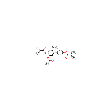 C=C(C)C(=O)Oc1ccc(-c2ccc(OC(=O)C(=C)C)c(OC(=O)C(C)(C)C)c2)c(SC)c1